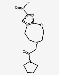 O=C(CN1CCOc2nc([N+](=O)[O-])cn2CC1)N1CCCC1